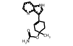 CC1(OC(N)=O)CC=C(c2c[nH]c3cccnc23)CC1